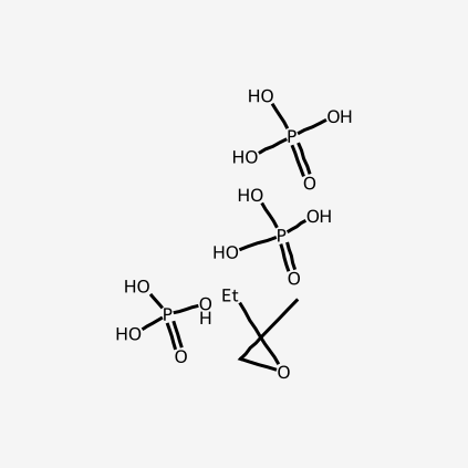 CCC1(C)CO1.O=P(O)(O)O.O=P(O)(O)O.O=P(O)(O)O